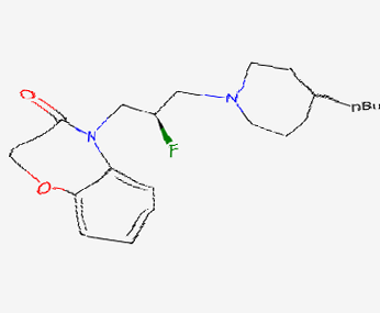 CCCCC1CCN(C[C@@H](F)CN2C(=O)COc3ccccc32)CC1